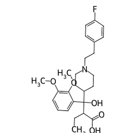 CCC(C(=O)O)C(O)(c1cccc(OC)c1OC)C1CCN(CCc2ccc(F)cc2)CC1